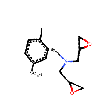 CCC(C)N(CC1CO1)CC1CO1.Cc1ccc(S(=O)(=O)O)cc1